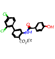 CCOC(=O)c1ccc(-c2ccc(Cl)cc2Cl)cc1NC(=O)c1ccc(O)cc1